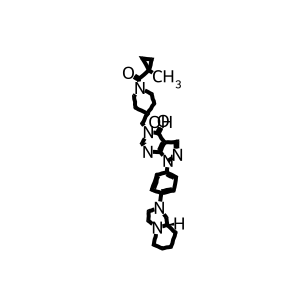 CC1(C(=O)N2CCC(O)(Cn3cnc4c(cnn4-c4ccc(N5CCN6CCCC[C@H]6C5)cc4)c3=O)CC2)CC1